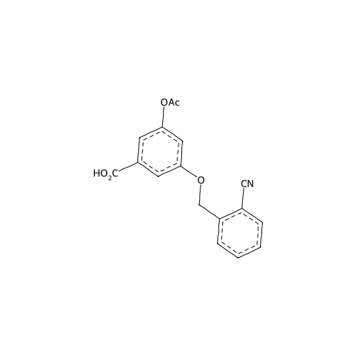 CC(=O)Oc1cc(OCc2ccccc2C#N)cc(C(=O)O)c1